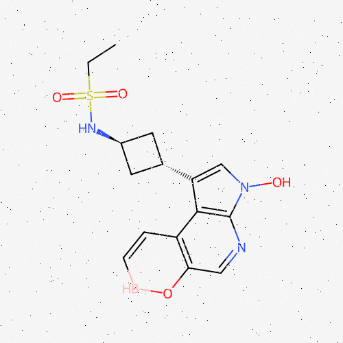 CCS(=O)(=O)N[C@H]1C[C@H](c2cn(O)c3ncc4c(c32)C=CBO4)C1